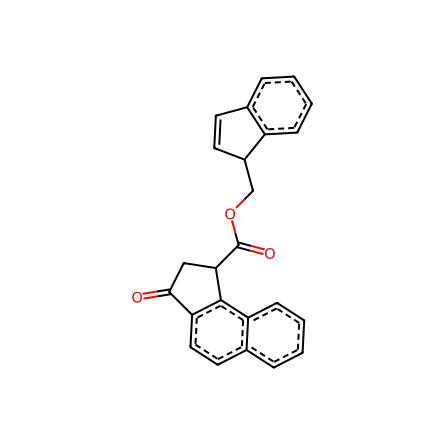 O=C1CC(C(=O)OCC2C=Cc3ccccc32)c2c1ccc1ccccc21